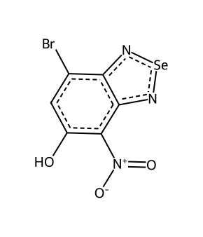 O=[N+]([O-])c1c(O)cc(Br)c2n[se]nc12